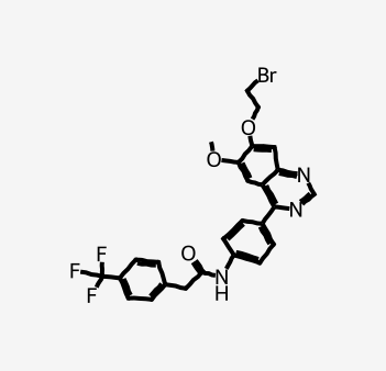 COc1cc2c(-c3ccc(NC(=O)Cc4ccc(C(F)(F)F)cc4)cc3)ncnc2cc1OCCBr